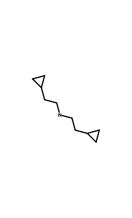 C(CC1CC1)[N]CCC1CC1